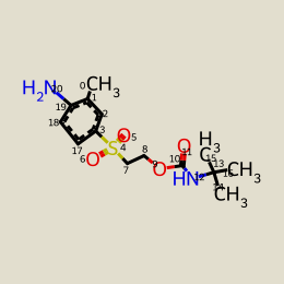 Cc1cc(S(=O)(=O)CCOC(=O)NC(C)(C)C)ccc1N